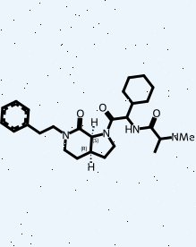 CNC(C)C(=O)NC(C(=O)N1CC[C@H]2CCN(CCc3ccccc3)C(=O)[C@H]21)C1CCCCC1